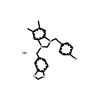 Br.Cc1cc2c(cc1C)N(Cc1ccc3c(c1)OCO3)CN2Cc1ccc(Br)cc1